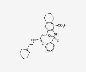 O=C(C=Cc1cc2c(c(C(=O)O)c1NS(=O)(=O)c1ccccc1)CCCC2)NCCN1CCCCC1